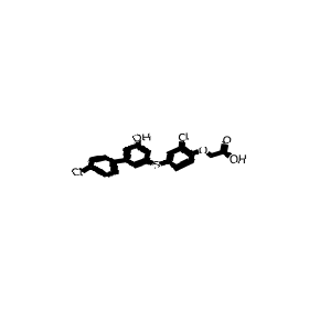 O=C(O)COc1ccc(Sc2cc(O)cc(-c3ccc(Cl)cc3)c2)cc1Cl